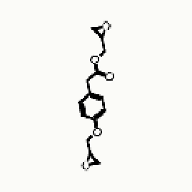 O=C(Cc1ccc(OCC2CO2)cc1)OCC1CO1